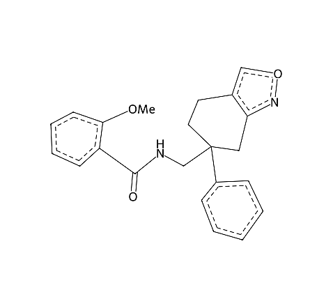 COc1ccccc1C(=O)NCC1(c2ccccc2)CCc2conc2C1